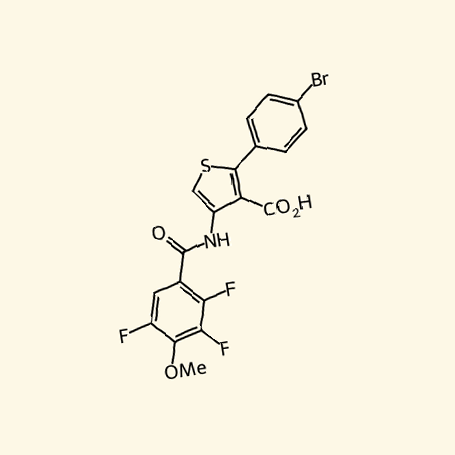 COc1c(F)cc(C(=O)Nc2csc(-c3ccc(Br)cc3)c2C(=O)O)c(F)c1F